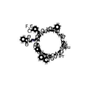 CC[C@H](C)[C@@H]1NC(=O)[C@H](CC(C)C)N(C)C(=O)C[C@@H](C(=O)N2CCCCC2)N(C)C(=O)[C@H](C2CCCCC2)N(C)C(=O)C2(CCCC2)NC(=O)CN(C/C=C/CN2C(=O)C3CCCCC3C2=O)C(=O)[C@H](CCc2ccc(C(F)(F)F)c(Cl)c2)NC(=O)CN(C)C(=O)[C@@H](CC2CCCCC2)N(C)C(=O)CN(C)C(=O)CN(C)C1=O